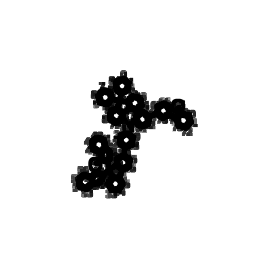 c1ccc(C2(c3ccccc3)c3ccccc3-c3c(N(c4ccc(-c5ccc6c(c5)C5(c7ccccc7-6)c6ccc7ccccc7c6Oc6c5ccc5ccccc65)cc4)c4ccc(-c5ccc6oc7ccccc7c6c5)cc4)cccc32)cc1